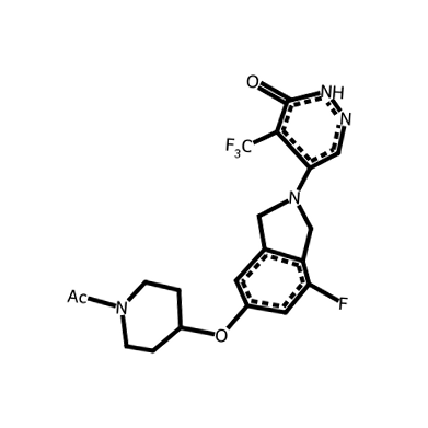 CC(=O)N1CCC(Oc2cc(F)c3c(c2)CN(c2cn[nH]c(=O)c2C(F)(F)F)C3)CC1